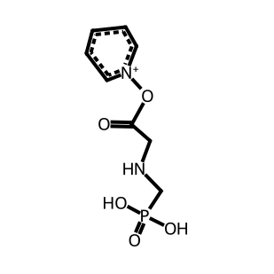 O=C(CNCP(=O)(O)O)O[n+]1ccccc1